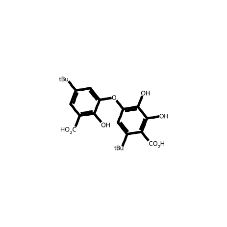 CC(C)(C)c1cc(Oc2cc(C(C)(C)C)c(C(=O)O)c(O)c2O)c(O)c(C(=O)O)c1